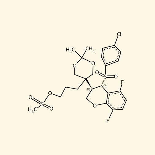 CC1(C)OCC(CCCOS(C)(=O)=O)([C@@H]2COc3c(F)ccc(F)c3[C@H]2S(=O)(=O)c2ccc(Cl)cc2)CO1